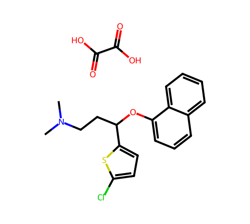 CN(C)CCC(Oc1cccc2ccccc12)c1ccc(Cl)s1.O=C(O)C(=O)O